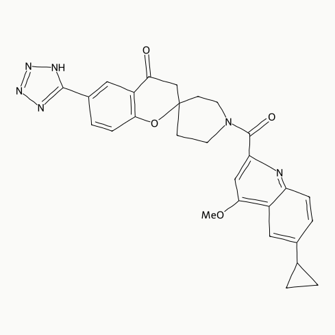 COc1cc(C(=O)N2CCC3(CC2)CC(=O)c2cc(-c4nnn[nH]4)ccc2O3)nc2ccc(C3CC3)cc12